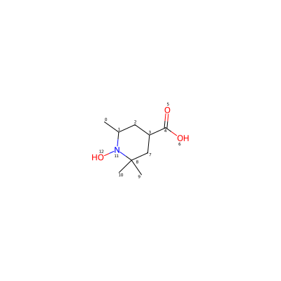 CC1CC(C(=O)O)CC(C)(C)N1O